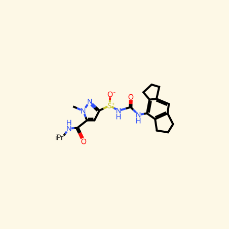 CC(C)NC(=O)c1cc([S+]([O-])NC(=O)Nc2c3c(cc4c2CCC4)CCC3)nn1C